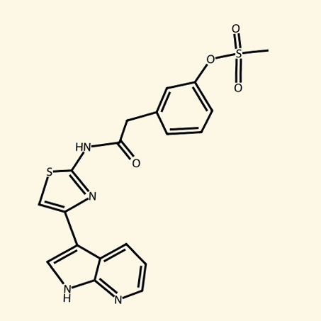 CS(=O)(=O)Oc1cccc(CC(=O)Nc2nc(-c3c[nH]c4ncccc34)cs2)c1